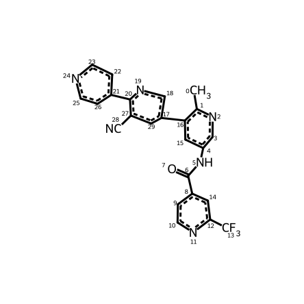 Cc1ncc(NC(=O)c2ccnc(C(F)(F)F)c2)cc1-c1cnc(-c2ccncc2)c(C#N)c1